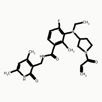 C=CC(=O)N1CCC(N(CC)c2c(F)ccc(C(=O)NCc3c(C)cc(C)[nH]c3=O)c2C)C1